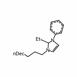 CCCCCCCCCCCCCN1C=CN(c2ccccc2)C1CC